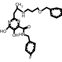 CC(Cc1nc(O)c(O)c(C(=O)NCc2ccc(F)cc2)n1)NCCCOCc1ccccc1